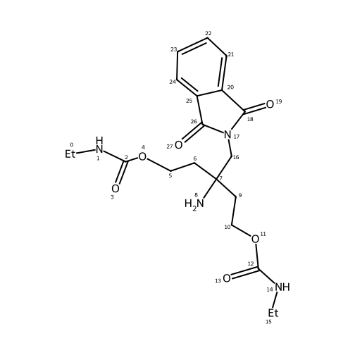 CCNC(=O)OCCC(N)(CCOC(=O)NCC)CN1C(=O)c2ccccc2C1=O